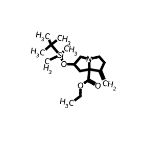 C=C1CCN2CC(O[Si](C)(C)C(C)(C)C)CC12C(=O)OCC